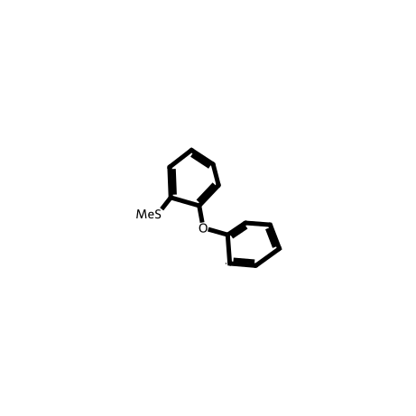 CSc1ccccc1Oc1[c]cccc1